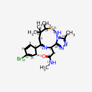 CNC(=O)CC1N=C(C2C=CC(Br)=CC2)CC(C)(C)C(C)SNn2c(C)nnc21